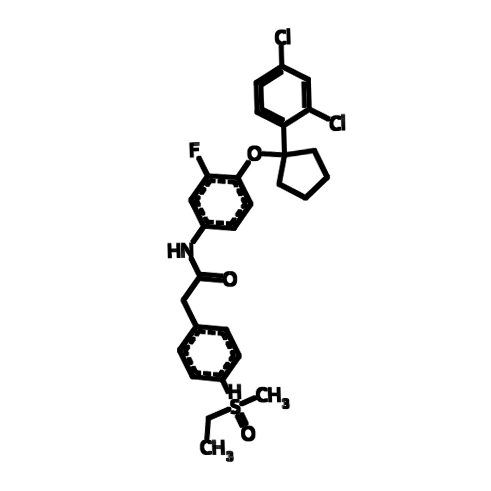 CC[SH](C)(=O)c1ccc(CC(=O)Nc2ccc(OC3(C4=C=C=C(Cl)C=C4Cl)CCCC3)c(F)c2)cc1